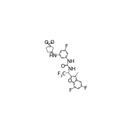 Cc1c(C(NC(=O)Nc2cc(F)cc(N[C@@H]3CCS(=O)(=O)C3)c2)C(F)(F)F)oc2c(F)cc(F)cc12